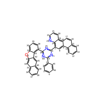 c1ccc(-c2nc(-c3cc4c5ccccc5ccc4c4cccnc34)nc(-c3cccc4oc5cc6ccccc6cc5c34)n2)cc1